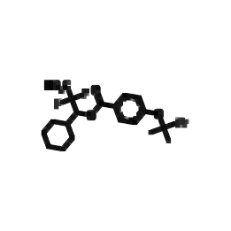 CC(C)C(C)(C)Oc1ccc(C(=O)OC(C2CCCCC2)C(F)(F)C(=O)O)cc1